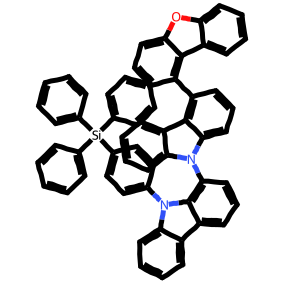 c1ccc([Si](c2ccccc2)(c2ccccc2)c2ccc(-n3c4ccccc4c4cccc(-n5c6ccccc6c6c(-c7cccc8oc9ccccc9c78)cccc65)c43)cc2)cc1